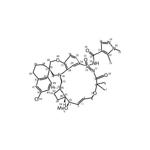 CO[C@@H]1/C=C/COC(C)(C)C(=O)N=S(=O)(NC(=O)c2cnn(C)c2C)c2ccc3c(c2)N(C[C@@H]2CC[C@H]21)C[C@@]1(CCCc2cc(Cl)ccc21)CO3